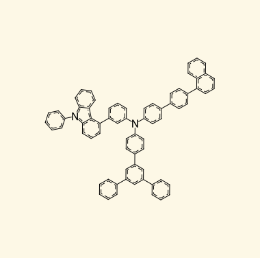 c1ccc(-c2cc(-c3ccccc3)cc(-c3ccc(N(c4ccc(-c5ccc(-c6cccc7ccccc67)cc5)cc4)c4cccc(-c5cccc6c5c5ccccc5n6-c5ccccc5)c4)cc3)c2)cc1